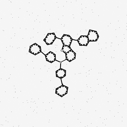 c1ccc(-c2ccc(N(c3ccc(-c4ccccc4)cc3)c3cccc4c3oc3c(-c5ccccc5)ccc(-c5ccc6ccccc6c5)c34)cc2)cc1